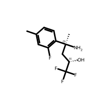 Cc1ccc([C@@](C)(N)C[C@H](O)C(F)(F)F)c(F)c1